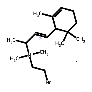 CC1=CCCC(C)(C)C1/C=C/C(C)[N+](C)(C)CCBr.[I-]